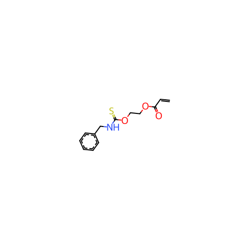 C=CC(=O)OCCOC(=S)NCc1ccccc1